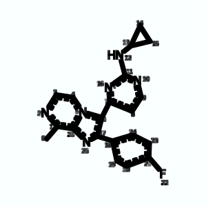 Cc1nccn2c(-c3ccnc(NC4CC4)n3)c(-c3ccc(F)cc3)nc12